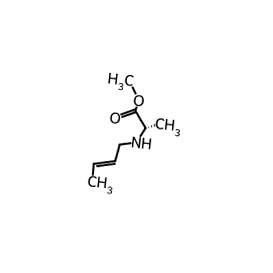 C/C=C/CN[C@@H](C)C(=O)OC